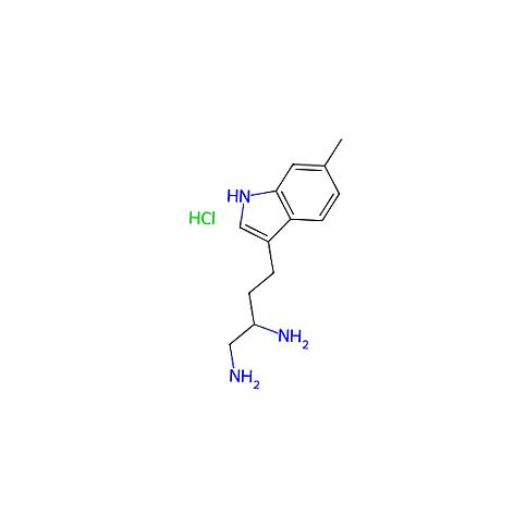 Cc1ccc2c(CCC(N)CN)c[nH]c2c1.Cl